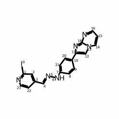 Ic1cc(C=NNc2ccc(-c3cn4cccnc4n3)cc2)ccn1